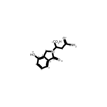 NC(=O)CC(C(=O)O)N1Cc2c(O)cccc2C1=O